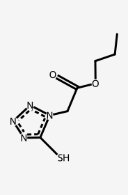 CCCOC(=O)Cn1nnnc1S